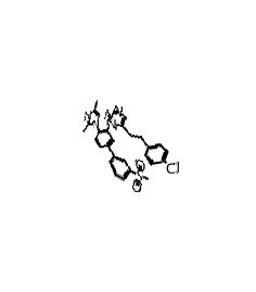 Cc1cn(-c2ccc(-c3cccc(S(C)(=O)=O)c3)cc2-n2nncc2CCc2ccc(Cl)cc2)c(C)n1